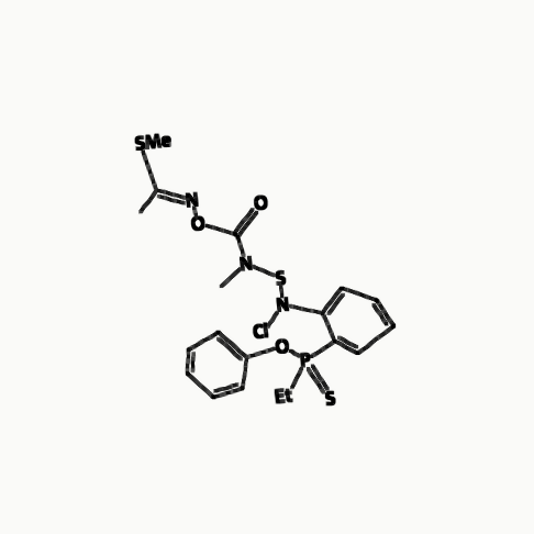 CCP(=S)(Oc1ccccc1)c1ccccc1N(Cl)SN(C)C(=O)ON=C(C)SC